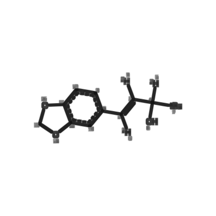 [2H]/C(=C(/[2H])C([2H])(O)C(C)(C)C)c1ccc2c(c1)OCO2